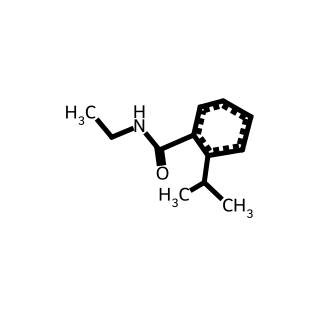 CCNC(=O)c1ccccc1C(C)C